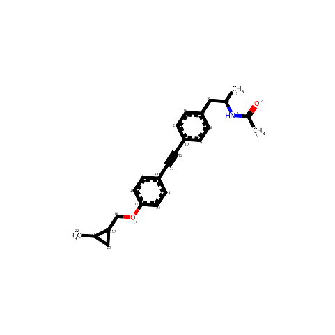 CC(=O)NC(C)Cc1ccc(C#Cc2ccc(OCC3CC3C)cc2)cc1